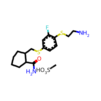 CS(=O)(=O)O.NCCSc1ccc(SCC2CCCCC2C(N)=O)cc1F